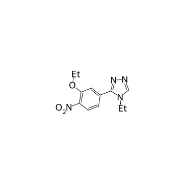 CCOc1cc(-c2nncn2CC)ccc1[N+](=O)[O-]